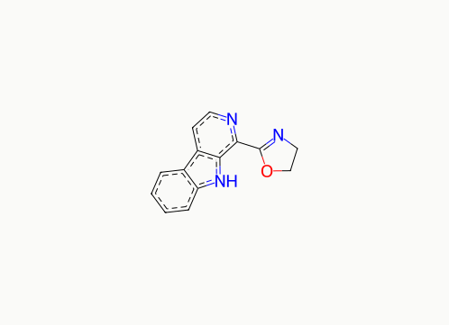 c1ccc2c(c1)[nH]c1c(C3=NCCO3)nccc12